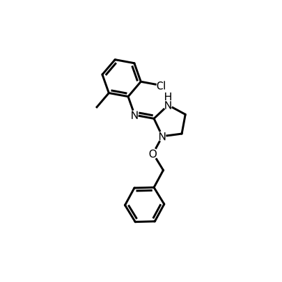 Cc1cccc(Cl)c1/N=C1\NCCN1OCc1ccccc1